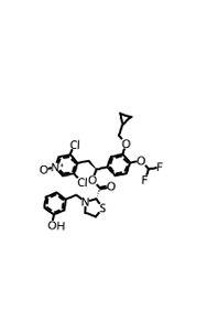 O=C(O[C@@H](Cc1c(Cl)c[n+]([O-])cc1Cl)c1ccc(OC(F)F)c(OCC2CC2)c1)[C@@H]1SCCN1Cc1cccc(O)c1